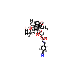 C=C[C@]1(C)C[C@@H](OC(=O)COC(=O)/C=C/c2ccc(C#N)cc2)[C@]2(C)[C@H](C)CC[C@]3(CCC(=O)[C@H]32)[C@@H](C)[C@@H]1O